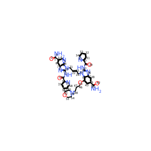 NC(=O)c1cnc2c(c1)nc(NC(=O)c1ccccn1)n2CC=CCn1c(NC(=O)c2ccccn2)nc2cc(C(N)=O)cc(OCCCN3CCOCC3)c21